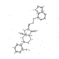 O=C1[C@H](CCCc2cccc3ncsc23)C[C@H]2CN(c3ccncc3F)CCN12